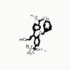 CC(C)c1ccc(C(CCO)c2cc(C(C)(C)C)ccc2OCc2ccccc2)cc1